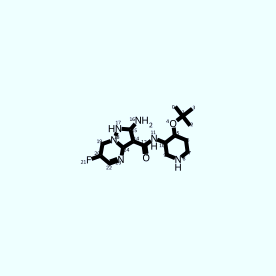 CC(C)(C)OC1CCNCC1NC(=O)C1C(N)NN2CC(F)C=NC12